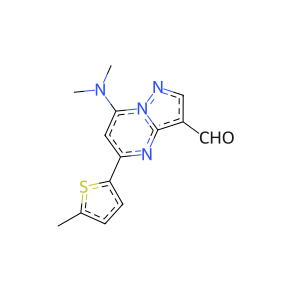 Cc1ccc(-c2cc(N(C)C)n3ncc(C=O)c3n2)s1